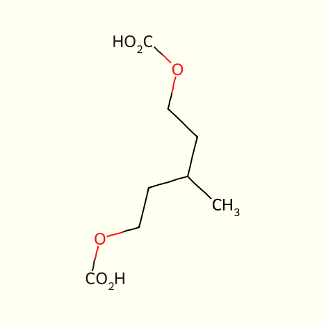 CC(CCOC(=O)O)CCOC(=O)O